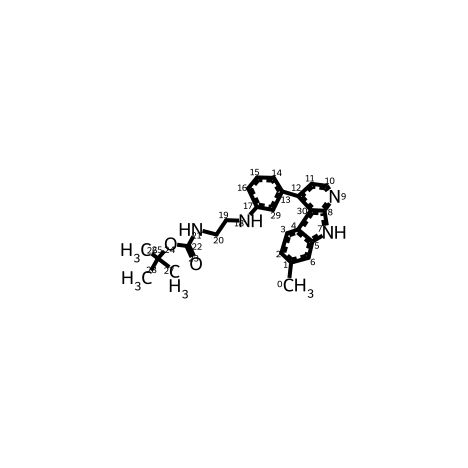 Cc1ccc2c(c1)[nH]c1nccc(-c3cccc(NCCNC(=O)OC(C)(C)C)c3)c12